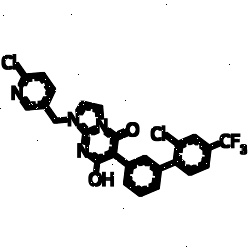 O=c1c(-c2cccc(-c3ccc(C(F)(F)F)cc3Cl)c2)c(O)nc2n(Cc3ccc(Cl)nc3)ccn12